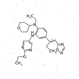 CCOc1ncc(Nc2cc(/C(=C/c3ncno3)CC)ccc2N(CC)C2CCOCC2)cn1